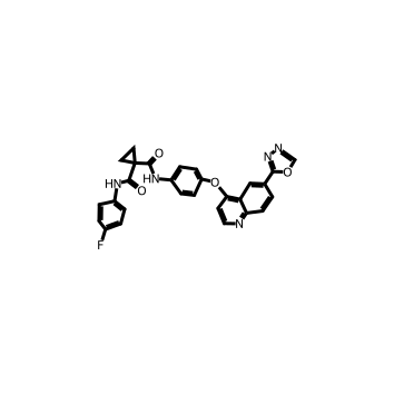 O=C(Nc1ccc(F)cc1)C1(C(=O)Nc2ccc(Oc3ccnc4ccc(-c5nnco5)cc34)cc2)CC1